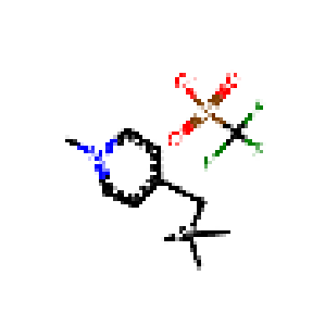 C[n+]1ccc(C[Si](C)(C)C)cc1.O=S(=O)([O-])C(F)(F)F